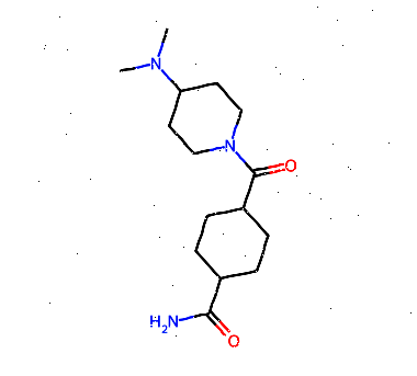 CN(C)C1CCN(C(=O)C2CCC(C(N)=O)CC2)CC1